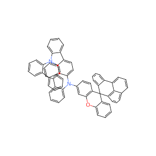 c1ccc(-c2ccccc2N(c2ccc3c(c2)Oc2ccccc2C32c3ccccc3-c3cccc4cccc2c34)c2ccc3c4ccccc4n(-c4ccccc4-c4ccccc4)c3c2)cc1